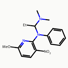 CCC(N(C)C)N(c1ccccc1)c1nc(OC)ccc1[N+](=O)[O-]